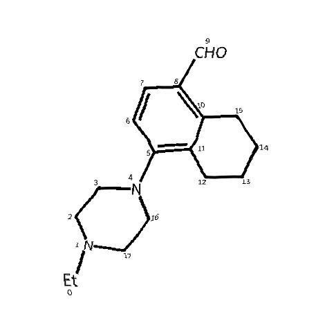 CCN1CCN(c2ccc(C=O)c3c2CCCC3)CC1